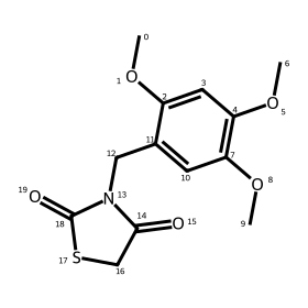 COc1cc(OC)c(OC)cc1CN1C(=O)CSC1=O